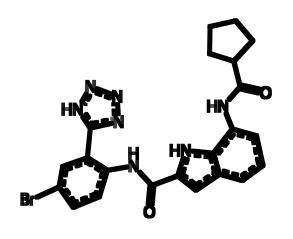 O=C(Nc1ccc(Br)cc1-c1nnn[nH]1)c1cc2cccc(NC(=O)C3CCCC3)c2[nH]1